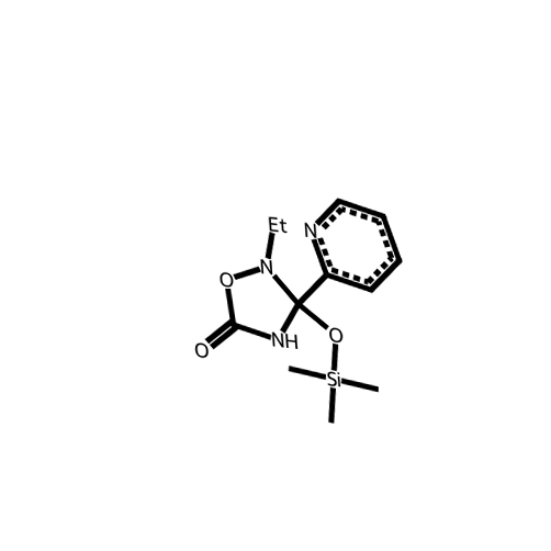 CCN1OC(=O)NC1(O[Si](C)(C)C)c1ccccn1